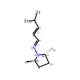 CCC(/C=C/C=N/N1[C@H](C)CC[C@H]1C)CC